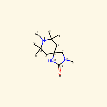 CC(=O)N1C(C)(C)CC2(CN(C)C(=O)N2)CC1(C)C